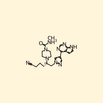 CNC(=O)N1CCN([C@@H](CCCC#N)Cn2cc(-c3ncnc4[nH]ccc34)cn2)CC1